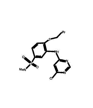 CNS(=O)(=O)c1ccc(SCC(C)C)c(Nc2cc(Cl)ncn2)c1